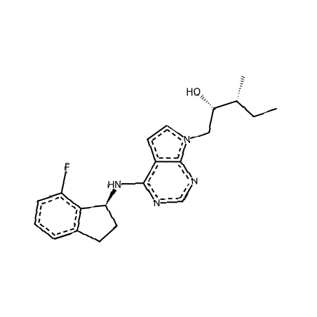 CC[C@@H](C)[C@@H](O)Cn1ccc2c(N[C@H]3CCc4cccc(F)c43)ncnc21